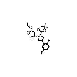 CCOC(=O)CC(=O)[C@H]1C[C@H](c2cc(F)ccc2F)CN1C(=O)OC(C)(C)C